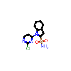 NS(=O)(=O)c1cc2ccccc2n1-c1ccnc(Cl)n1